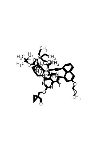 CC[Si](CC)(CC)OC1CC2CN(c3nc(OCC4(C=O)CC4)nc4c(F)c(-c5cc(OCOC)cc6cccc(C#C[Si](C(C)C)(C(C)C)C(C)C)c56)ncc34)CC1N2C(=O)OC(C)(C)C